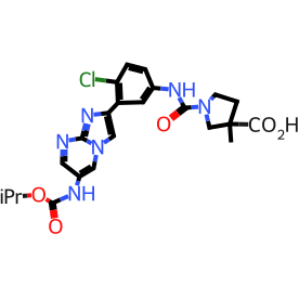 CC(C)OC(=O)Nc1cnc2nc(-c3cc(NC(=O)N4CCC(C)(C(=O)O)C4)ccc3Cl)cn2c1